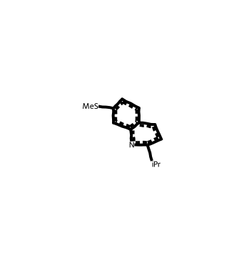 CSc1ccc2ccc(C(C)C)nc2c1